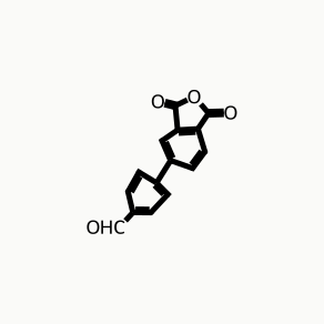 O=Cc1ccc(-c2ccc3c(c2)C(=O)OC3=O)cc1